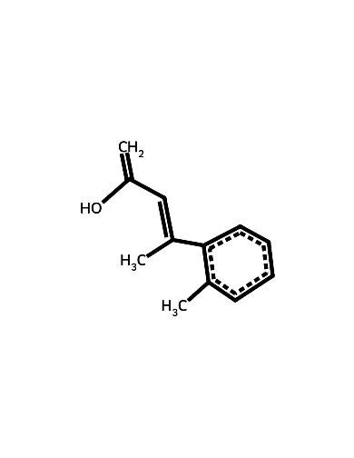 C=C(O)/C=C(\C)c1ccccc1C